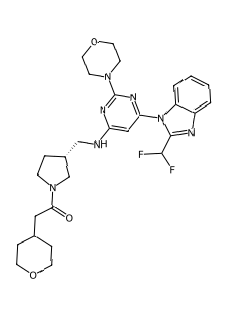 O=C(CC1CCOCC1)N1CC[C@H](CNc2cc(-n3c(C(F)F)nc4ccccc43)nc(N3CCOCC3)n2)C1